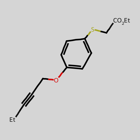 CCC#CCOc1ccc(SCC(=O)OCC)cc1